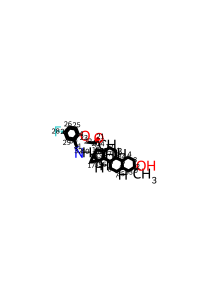 C[C@@]1(O)CC[C@H]2[C@H](CC[C@@H]3[C@@H]2CC[C@@]2(C)[C@H]3[C@@H]3C[C@@H]3[C@@H]2C(=O)COc2ccc(F)cc2C#N)C1